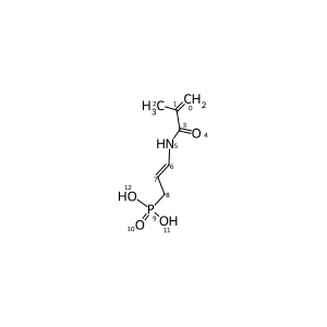 C=C(C)C(=O)NC=CCP(=O)(O)O